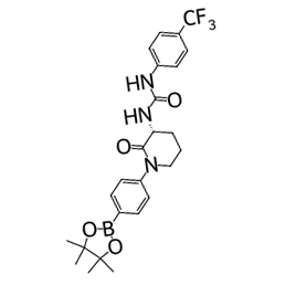 CC1(C)OB(c2ccc(N3CCC[C@@H](NC(=O)Nc4ccc(C(F)(F)F)cc4)C3=O)cc2)OC1(C)C